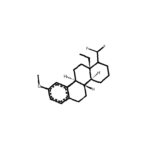 CC[C@]12CC[C@@H]3c4cc(OC)[c]cc4CC[C@H]3[C@@H]1CCCC2C(F)F